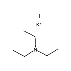 CCN(CC)CC.[I-].[K+]